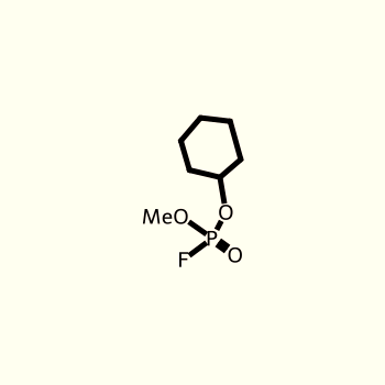 COP(=O)(F)OC1CCCCC1